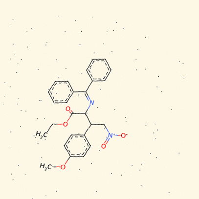 CCOC(=O)C(N=C(c1ccccc1)c1ccccc1)C(C[N+](=O)[O-])c1ccc(OC)cc1